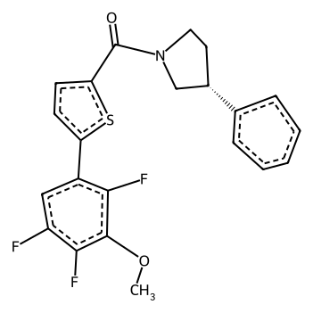 COc1c(F)c(F)cc(-c2ccc(C(=O)N3CC[C@H](c4ccccc4)C3)s2)c1F